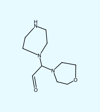 O=CC(N1CCNCC1)N1CCOCC1